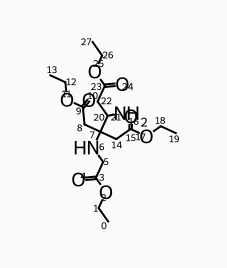 CCOC(=O)CNC(CC(=O)OCC)(CC(=O)OCC)C(N)CC(=O)OCC